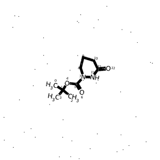 CC(C)(C)OC(=O)N1CCCC(=O)N1